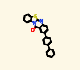 O=c1c2cc(-c3ccc(-c4ccccc4)cc3)ccc2nc2sc3ccccc3n12